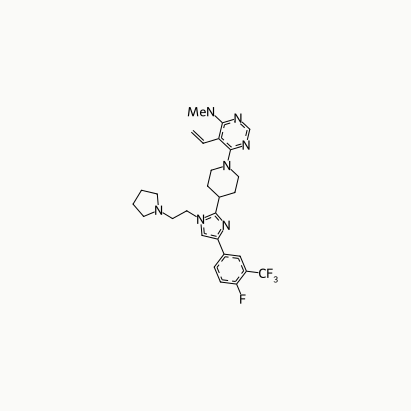 C=Cc1c(NC)ncnc1N1CCC(c2nc(-c3ccc(F)c(C(F)(F)F)c3)cn2CCN2CCCC2)CC1